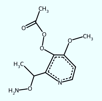 COc1ccnc(C(C)ON)c1OOC(C)=O